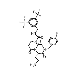 NCC[C@H]1C(=O)N(Cc2ccc(F)cc2)C[C@@H]2N(C(=O)NCc3cc(C(F)(F)F)cc(C(F)(F)F)c3)CCC(=O)N21